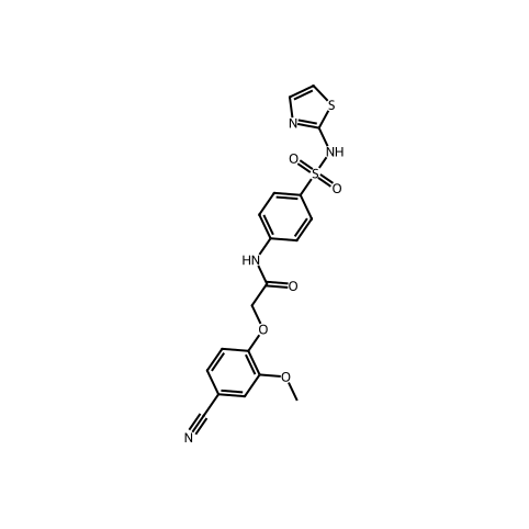 COc1cc(C#N)ccc1OCC(=O)Nc1ccc(S(=O)(=O)Nc2nccs2)cc1